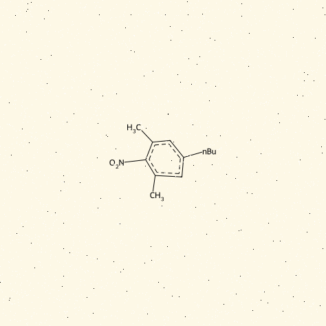 CCCCc1cc(C)c([N+](=O)[O-])c(C)c1